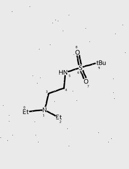 CCN(CC)CCNS(=O)(=O)C(C)(C)C